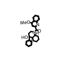 COc1cc(C(=O)N2CC[C@](O)(c3ccccc3)[C@H]3CCCC[C@H]32)nc2ccccc12